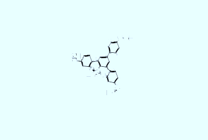 COc1ccc(-c2cc(-c3ccc(OC)cc3)c(S(=O)(=O)O)c(-c3ccc(OC)cc3)c2)cc1